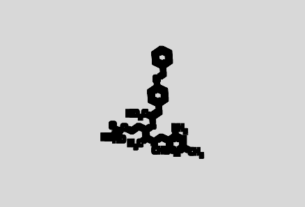 C/C(=C(\CCOP(=O)(O)O)S/C(=C/c1ccc(OCc2ccccc2)cc1)C(=O)O)N(C=O)Cc1cnc(C)nc1N